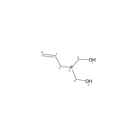 C=CCP(CO)CO